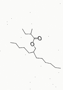 CCCCCCC(CCCCC)COC(=O)C(C)CC